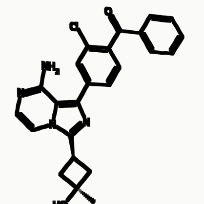 C[C@]1(O)C[C@@H](c2nc(-c3ccc(C(=O)c4ccccc4)c(Cl)c3)c3c(N)nccn32)C1